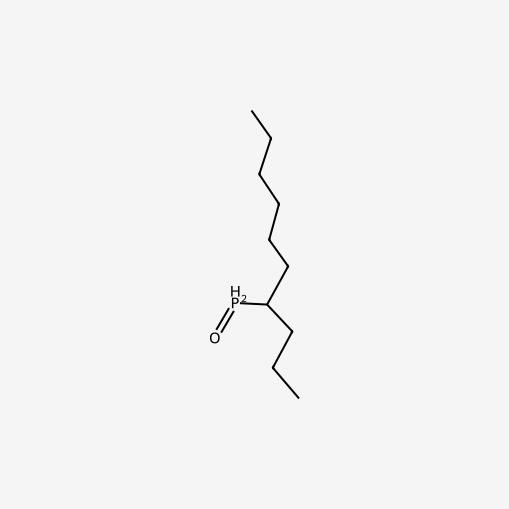 CCCCCCC(CCC)[PH2]=O